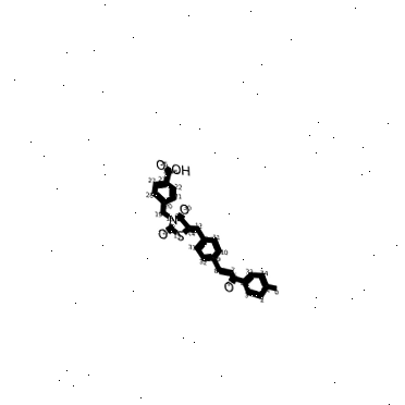 Cc1ccc(C(=O)/C=C/c2ccc(/C=C3\SC(=O)N(Cc4ccc(C(=O)O)cc4)C3=O)cc2)cc1